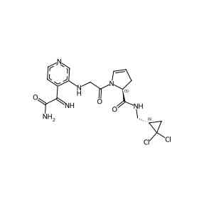 N=C(C(N)=O)c1ccncc1NCC(=O)N1C=CC[C@H]1C(=O)NC[C@@H]1CC1(Cl)Cl